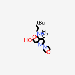 Cc1cc(N2CCOCC2)nc(CCO)c1C(=O)NCCCC(C)(C)C